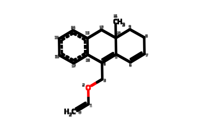 C=COCC1=C2C=CCCC2(C)Cc2ccccc21